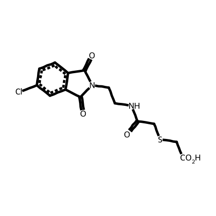 O=C(O)CSCC(=O)NCCN1C(=O)c2ccc(Cl)cc2C1=O